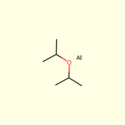 CC(C)OC(C)C.[Al]